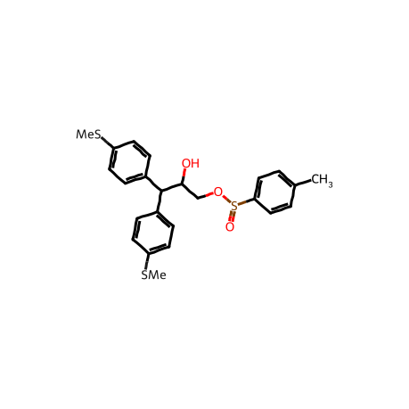 CSc1ccc(C(c2ccc(SC)cc2)C(O)COS(=O)c2ccc(C)cc2)cc1